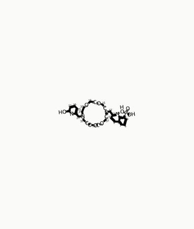 O=P(O)(O)c1cccc2ccc(CN3CCOCCOCCN(Cc4cccc(O)n4)CCOCCOCC3)nc12